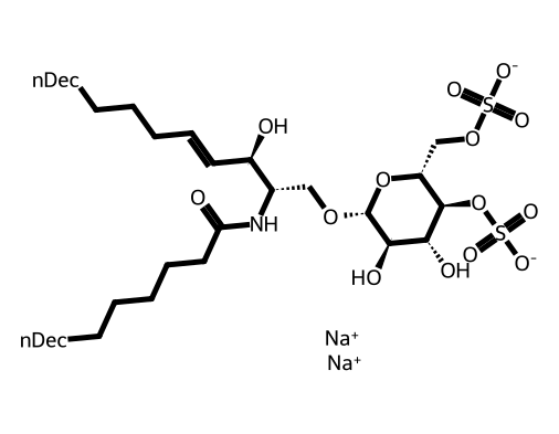 CCCCCCCCCCCCC/C=C/[C@@H](O)[C@H](CO[C@@H]1O[C@H](COS(=O)(=O)[O-])[C@@H](OS(=O)(=O)[O-])[C@H](O)[C@H]1O)NC(=O)CCCCCCCCCCCCCCC.[Na+].[Na+]